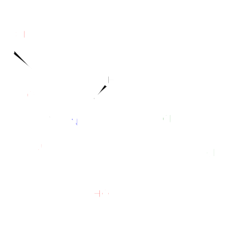 O=C1O[C@@H](CO)CC[C@@H]2C[C@H](c3c(O)ccc(Cl)c3Cl)CN12